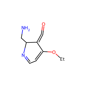 CCOC1=CC=NC(CN)C1=C=O